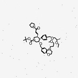 CCO[C@H](C)COCc1ccc([C@H]2[C@H](C=CC(=O)N3CCCC3)CN(C(=O)OC(C)(C)C)C[C@@H]2OCc2ccc3c(c2)N(CCCOC)CCO3)cc1